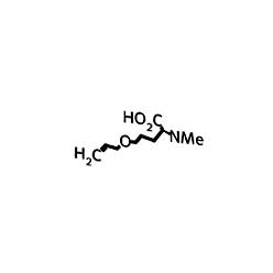 C=CCOCCC[C@H](NC)C(=O)O